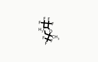 CCC(C)(OC1CC(F)(F)C1(F)F)C(F)(F)F